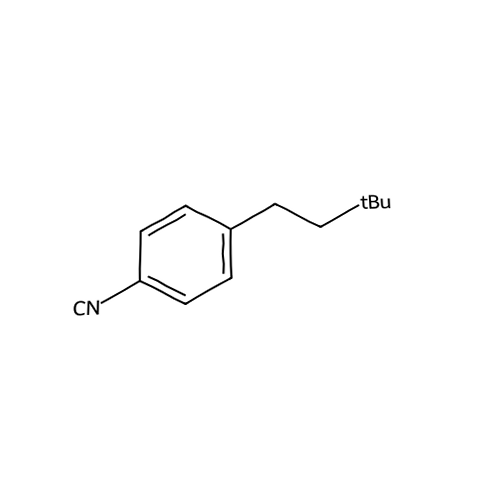 [C-]#[N+]c1ccc(CCC(C)(C)C)cc1